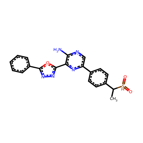 CC(c1ccc(-c2cnc(N)c(-c3nnc(-c4ccccc4)o3)n2)cc1)[SH](=O)=O